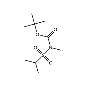 [CH2]N(C(=O)OC(C)(C)C)S(=O)(=O)C(C)C